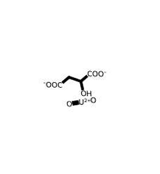 O=C([O-])CC(O)C(=O)[O-].[O]=[U+2]=[O]